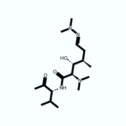 CC(=O)[C@H](NC(=O)[C@@H]([C@H](O)[C@H](C)C/C=N/N(C)C)N(C)C)C(C)C